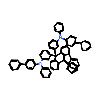 C1=CCC(c2ccc(N(c3ccccc3)c3cccc(C4(c5cccc(N(c6ccccc6)c6ccc(-c7ccccc7)cc6)c5)c5ccccc5C5(c6ccccc6)c6ccccc6-c6cccc4c65)c3)cc2)C=C1